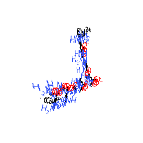 CNCC(=O)[O-].C[C@H](N)C(=O)N[C@@H](CCCNC(=N)N)C(=O)[O-].Cc1[nH]cnc1C[C@H](NC(=O)[C@H](C)N)C(=O)[O-].Cc1[nH]cnc1C[C@H](NC(=O)[C@H](C)N)C(=O)[O-].N=C(N)NCCC[C@H](NC(=O)CN)C(=O)[O-].N=C(N)[N-]CCC[C@H]([N-]C(=O)CN)C(=O)[O-].N[C@@H](Cc1c[nH]cn1)C(=O)[O-].[Cu+2].[Cu+2].[Cu+2].[Cu+2]